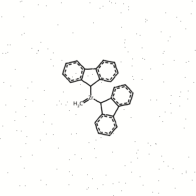 [CH2]=[Zr]([CH]1c2ccccc2-c2ccccc21)[CH]1c2ccccc2-c2ccccc21